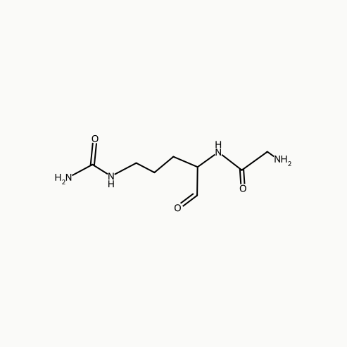 NCC(=O)NC(C=O)CCCNC(N)=O